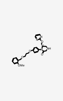 COc1ccccc1COCCCOc1ccc(N2C(=O)CNC[C@@H]2COc2ncccn2)cc1